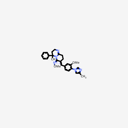 CO/N=C1\C(=C\c2ccc(-n3cnc(C)c3)c(OC)c2)CCC2=NCCC(C)(c3ccccc3)N21